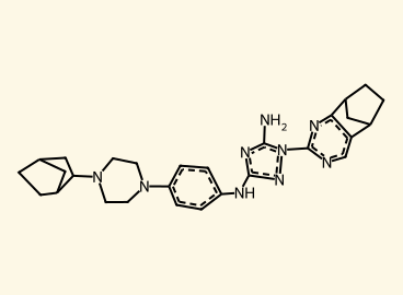 Nc1nc(Nc2ccc(N3CCN(C4CC5CCC4C5)CC3)cc2)nn1-c1ncc2c(n1)C1CCC2C1